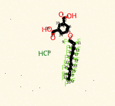 Cl.O=C(O)c1cc(OC(F)=C(F)C(F)(F)C(F)(F)C(F)(F)C(F)(F)C(F)(F)C(F)(F)C(F)(F)F)cc(C(=O)O)c1